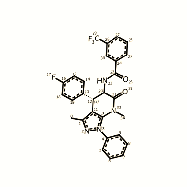 Cc1nn(-c2ccccc2)c2c1[C@H](c1ccc(F)cc1)C(NC(=O)c1cccc(C(F)(F)F)c1)C(=O)N2C